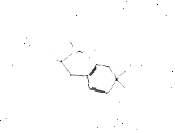 CN(C)[C@@H](CC1=CCC(C)(O)C=C1)C(=O)O